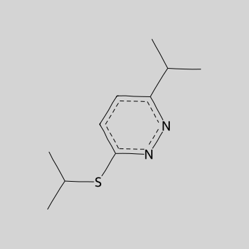 CC(C)Sc1ccc(C(C)C)nn1